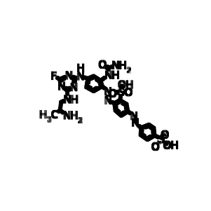 CC(N)CNc1nc(F)nc(Nc2ccc(N=Nc3ccc(/N=N/c4ccc(S(=O)(=O)O)cc4)cc3S(=O)(=O)O)c(NC(N)=O)c2)n1